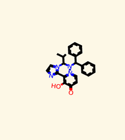 CC(C)C1N(C(c2ccccc2)c2ccccc2)n2ccc(=O)c(O)c2-c2nccn21